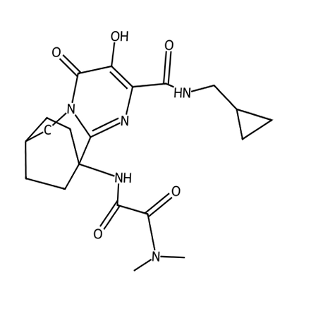 CN(C)C(=O)C(=O)NC12CCC(CC1)Cn1c2nc(C(=O)NCC2CC2)c(O)c1=O